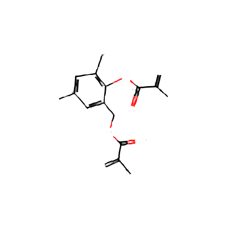 C=C(C)C(=O)OCc1cc(C)cc(C)c1OC(=O)C(=C)C